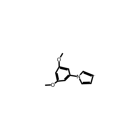 COc1cc(OC)cc(-n2c[c]cc2)c1